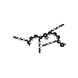 CCCCOCCOCCc1cc(C)sc1-c1ccc(-c2ccc(-c3sc(-c4ccc(-c5cc(CCOCCOCCCC)c(-c6ccc(-c7ccc(-c8sc(-c9cccc(C)c9)cc8CCOCCOCCCC)s7)s6)s5)c5nsnc45)cc3CCOCCOCCCC)s2)s1